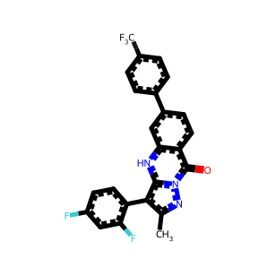 Cc1nn2c(=O)c3ccc(-c4ccc(C(F)(F)F)cc4)cc3[nH]c2c1-c1ccc(F)cc1F